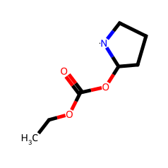 CCOC(=O)OC1CCC[N]1